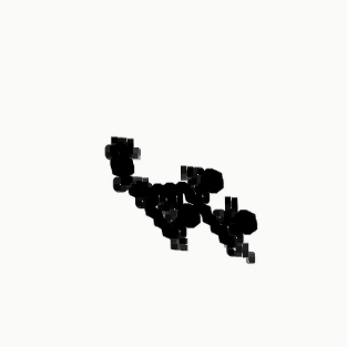 CCC1CC(CCCC2CC(CC(O)CCCC3CC(CCCC(O)CC4C[C@H](C)OC(c5ccccc5O)O4)OC(c4ccccc4O)O3)OC(CNC(=O)c3ccc(S(N)(=O)=O)cc3)O2)OC(c2ccccc2O)O1